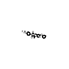 O=C1N(c2ccc(OC(F)(F)F)cc2)C(=O)C2(CC2)N1Cc1ccnc(Oc2ccccc2)c1